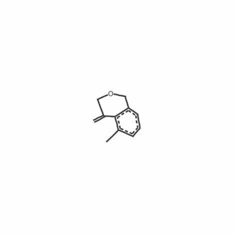 C=C1COCc2cccc(C)c21